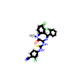 CN1C(=O)C(NC(=S)Nc2ccc(C#N)c(Cl)c2)N=C(c2ccccc2Cl)c2cc(Cl)ccc21